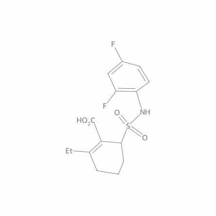 CCC1=C(C(=O)O)C(S(=O)(=O)Nc2ccc(F)cc2F)CCC1